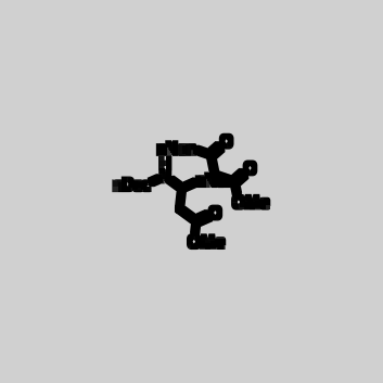 CCCCCCCCCC(=O)CC(=O)OC.CCCCCCCCCCNC(CCCCCCCCC)CC(=O)OC